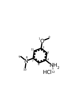 COc1cc(N)cc(N(C)C)c1.Cl